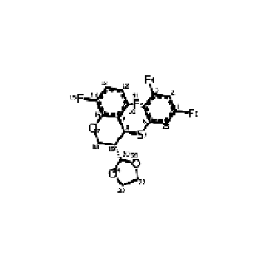 Fc1cc(F)cc(S[C@@H]2c3c(F)ccc(F)c3OC[C@H]2C2OCCO2)c1